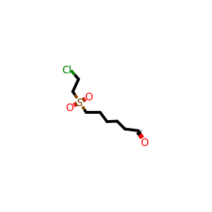 O=[C]CCCCCS(=O)(=O)CCCl